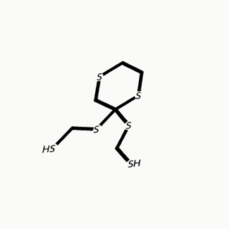 SCSC1(SCS)CSCCS1